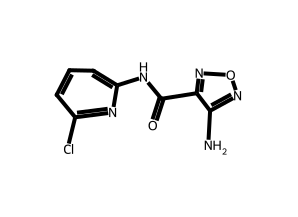 Nc1nonc1C(=O)Nc1cccc(Cl)n1